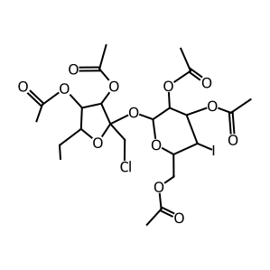 CCC1OC(CCl)(OC2OC(COC(C)=O)C(I)C(OC(C)=O)C2OC(C)=O)C(OC(C)=O)C1OC(C)=O